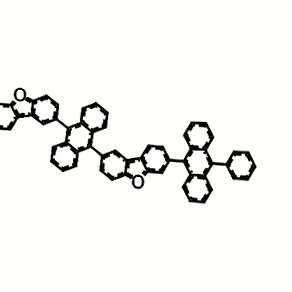 c1ccc(-c2c3ccccc3c(-c3ccc4c(c3)oc3ccc(-c5c6ccccc6c(-c6ccc7oc8ccccc8c7c6)c6ccccc56)cc34)c3ccccc23)cc1